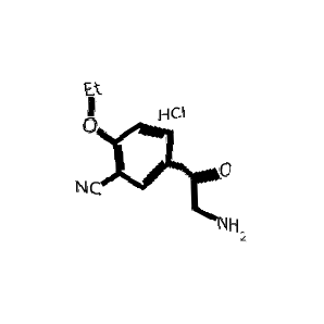 CCOc1ccc(C(=O)CN)cc1C#N.Cl